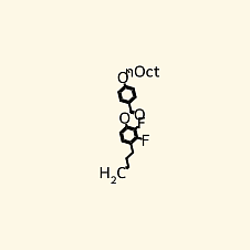 C=CCCc1ccc(OC(=O)c2ccc(OCCCCCCCC)cc2)c(F)c1F